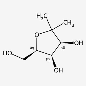 CC1(C)O[C@H](CO)[C@H](O)[C@@H]1O